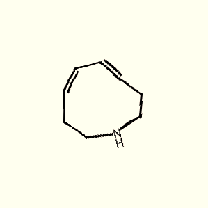 C1=C\CCNCC/C=C/1